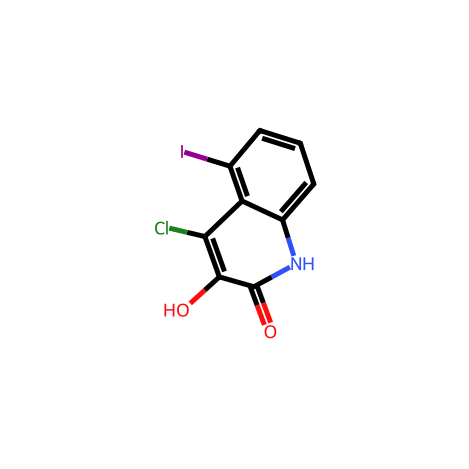 O=c1[nH]c2cccc(I)c2c(Cl)c1O